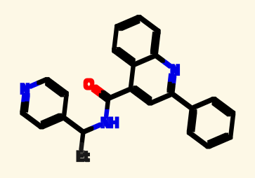 CCC(NC(=O)c1cc(-c2ccccc2)nc2ccccc12)c1ccncc1